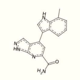 Cc1cccc2c(-c3cc(C(N)=O)nc4[nH]ncc34)c[nH]c12